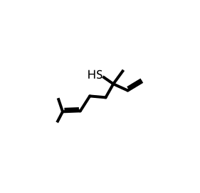 C=CC(C)(S)CCC=C(C)C